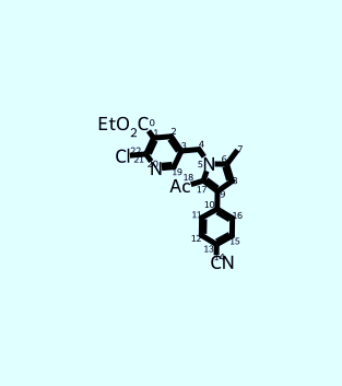 CCOC(=O)c1cc(Cn2c(C)cc(-c3ccc(C#N)cc3)c2C(C)=O)cnc1Cl